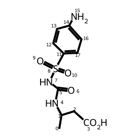 CC(CC(=O)O)NC(=O)NS(=O)(=O)c1ccc(N)cc1